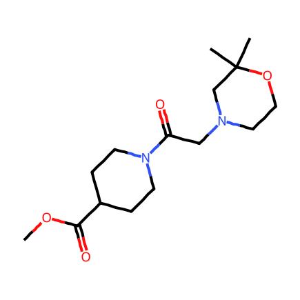 COC(=O)C1CCN(C(=O)CN2CCOC(C)(C)C2)CC1